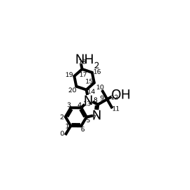 Cc1ccc2c(c1)nc(C(C)(C)O)n2C1CCC(N)CC1